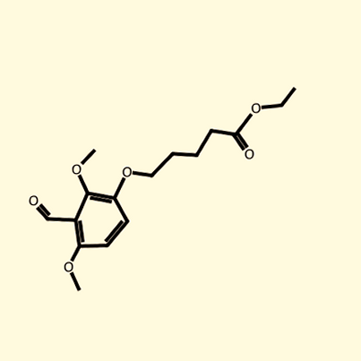 CCOC(=O)CCCCOc1ccc(OC)c(C=O)c1OC